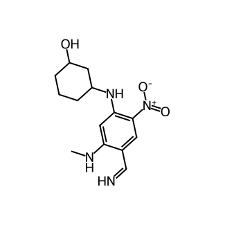 CNc1cc(NC2CCCC(O)C2)c([N+](=O)[O-])cc1C=N